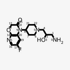 NCC(O)CN1CCC(N2C(=O)COc3ncc(F)cc32)CC1